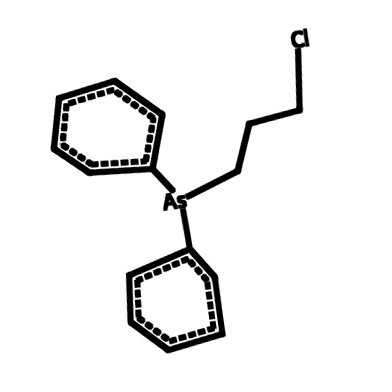 ClCCC[As](c1ccccc1)c1ccccc1